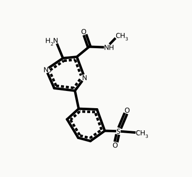 CNC(=O)c1nc(-c2cccc(S(C)(=O)=O)c2)cnc1N